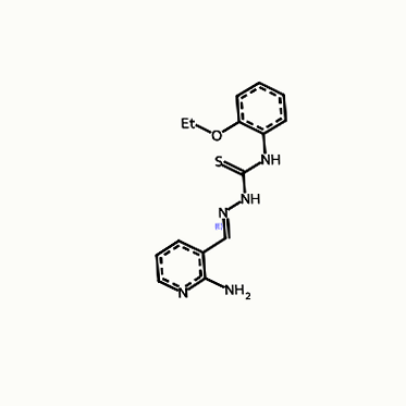 CCOc1ccccc1NC(=S)N/N=C/c1cccnc1N